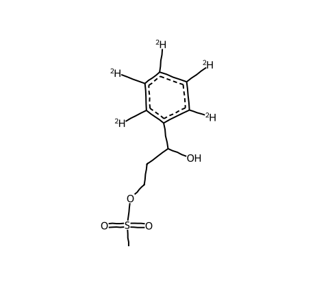 [2H]c1c([2H])c([2H])c(C(O)CCOS(C)(=O)=O)c([2H])c1[2H]